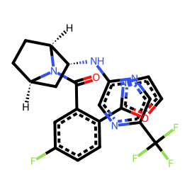 O=C(c1cc(F)ccc1-c1ncco1)N1[C@@H]2CC[C@H]1[C@H](Nc1cnc(C(F)(F)F)cn1)C2